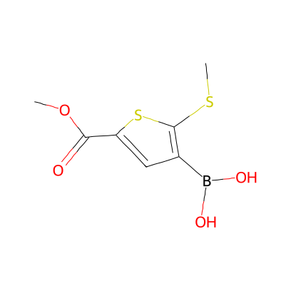 COC(=O)c1cc(B(O)O)c(SC)s1